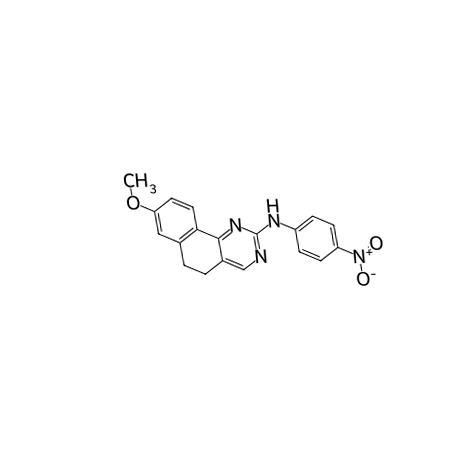 COc1ccc2c(c1)CCc1cnc(Nc3ccc([N+](=O)[O-])cc3)nc1-2